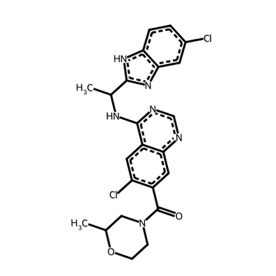 CC1CN(C(=O)c2cc3ncnc(NC(C)c4nc5cc(Cl)ccc5[nH]4)c3cc2Cl)CCO1